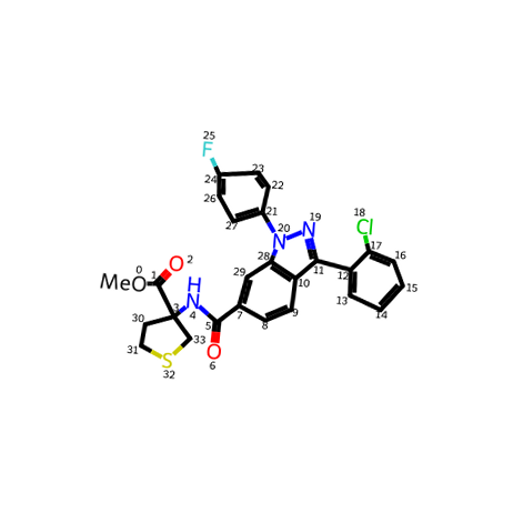 COC(=O)C1(NC(=O)c2ccc3c(-c4ccccc4Cl)nn(-c4ccc(F)cc4)c3c2)CCSC1